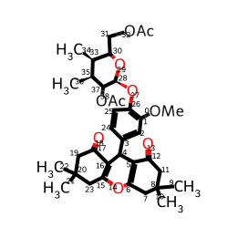 COc1cc(C2C3=C(CC(C)(C)CC3=O)OC3=C2C(=O)CC(C)(C)C3)ccc1O[C@@H]1OC(COC(C)=O)[C@H](C)[C@H](C)C1OC(C)=O